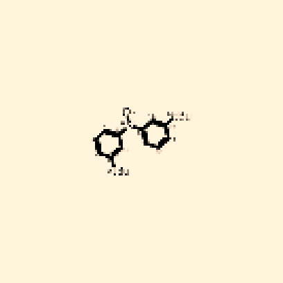 CC(C)(C)c1cccc([S+]([O-])c2cccc(C(C)(C)C)c2)c1